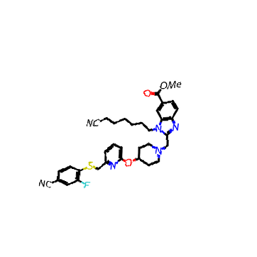 COC(=O)c1ccc2nc(CN3CCC(Oc4cccc(CSc5ccc(C#N)cc5F)n4)CC3)n(CCCCCCC#N)c2c1